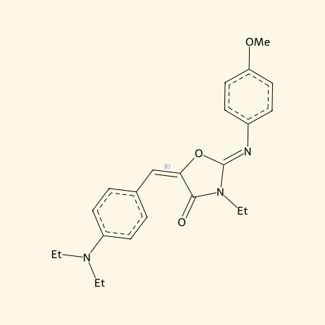 CCN1C(=O)/C(=C\c2ccc(N(CC)CC)cc2)OC1=Nc1ccc(OC)cc1